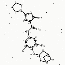 CCc1oc(N2CCCC2)nc1C(=O)Nc1cc(C)c(OC2CC3CC(C3)C2)c(F)c1